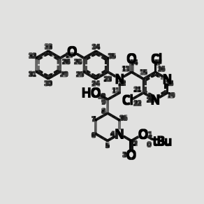 CC(C)(C)OC(=O)N1CCCC(C(O)CN(C(=O)c2c(Cl)ncnc2Cl)c2ccc(Oc3ccccc3)cc2)C1